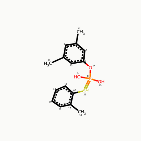 Cc1cc(C)cc(OP(O)(O)=[SH]c2ccccc2C)c1